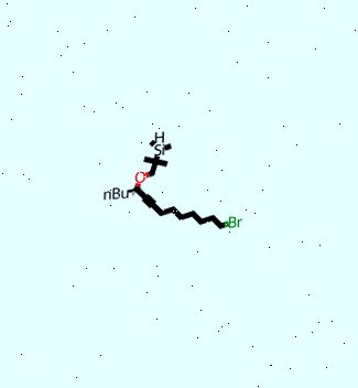 CCCC[C@H](C#CCCCCCCCBr)OCC(C)(C)[SiH](C)C